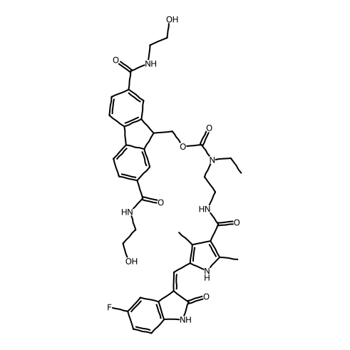 CCN(CCNC(=O)c1c(C)[nH]c(/C=C2\C(=O)Nc3ccc(F)cc32)c1C)C(=O)OCC1c2cc(C(=O)NCCO)ccc2-c2ccc(C(=O)NCCO)cc21